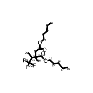 CCCCCOC(=O)CC(C)(C(=O)OCCCCC)C(C)C(F)(F)F